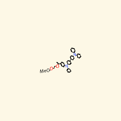 C=C(OCCOCOC)c1ccc(N(c2ccccc2)c2ccc(-c3ccc(N(c4ccccc4)c4ccccc4)cc3)cc2)cc1